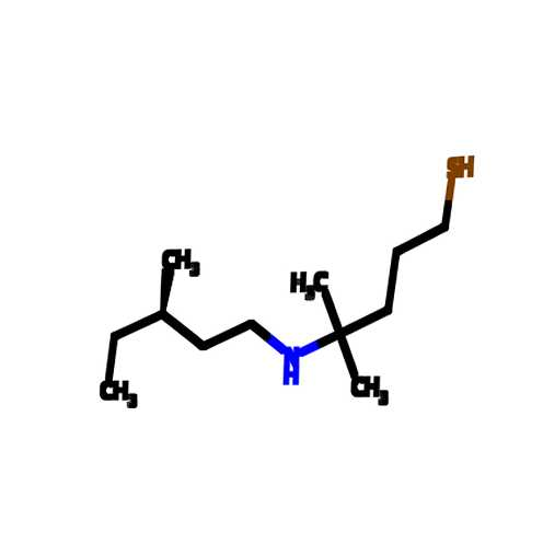 CC[C@@H](C)CCNC(C)(C)CCCS